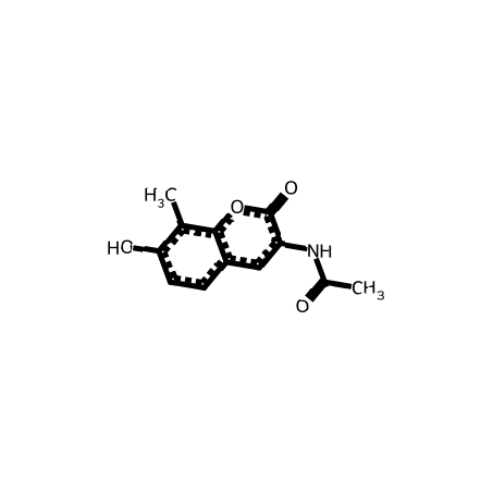 CC(=O)Nc1cc2ccc(O)c(C)c2oc1=O